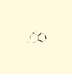 CC1(C)C[NH+]([O-])Cc2c[c]ccc21